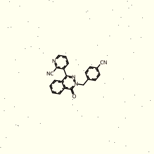 N#Cc1ccc(Cn2nc(-c3cccnc3C#N)c3ccccc3c2=O)cc1